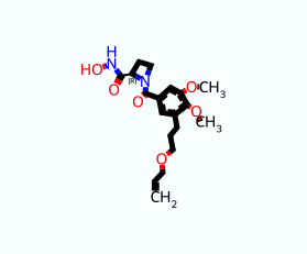 C=CCOCCCc1cc(C(=O)N2CC[C@@H]2C(=O)NO)cc(OC)c1OC